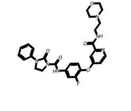 O=C(NCCN1CCOCC1)c1cc(Oc2ccc(NC(=O)N3CCN(c4ccccc4)C3=O)cc2F)ccn1